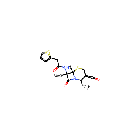 COC1(NC(=O)Cc2cccs2)C(=O)N2C(C(=O)O)C(=C=O)CS[C@H]21